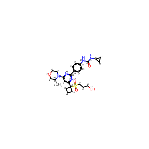 C[C@H]1COCCN1c1cc(C2(S(=O)(=O)CCCO)CCC2)nc(-c2ccc(NC(=O)NC3CC3)cc2)n1